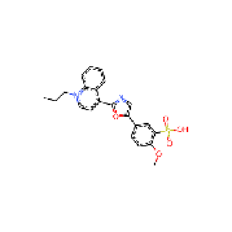 CCC[n+]1ccc(-c2ncc(-c3ccc(OC)c(S(=O)(=O)O)c3)o2)c2ccccc21